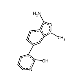 Cn1nc(N)c2ccc(-c3cccnc3O)cc21